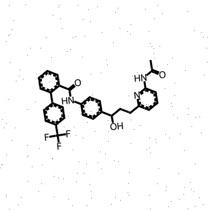 CC(=O)Nc1cccc(CCC(O)c2ccc(NC(=O)c3ccccc3-c3ccc(C(F)(F)F)cc3)cc2)n1